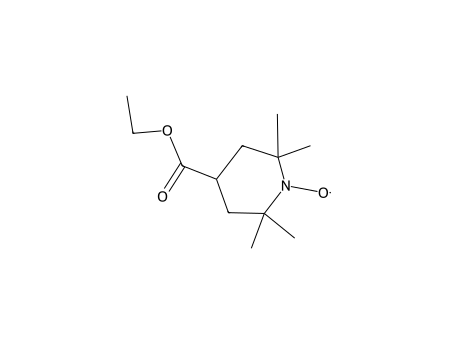 CCOC(=O)C1CC(C)(C)N([O])C(C)(C)C1